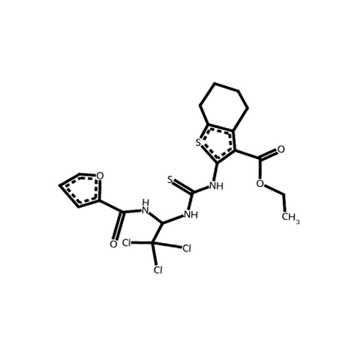 CCOC(=O)c1c(NC(=S)NC(NC(=O)c2ccco2)C(Cl)(Cl)Cl)sc2c1CCCC2